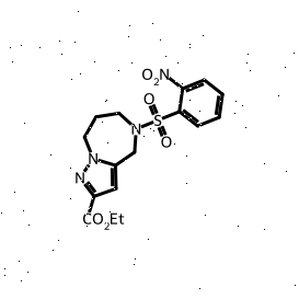 CCOC(=O)c1cc2n(n1)CCCN(S(=O)(=O)c1ccccc1[N+](=O)[O-])C2